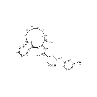 O=C(O)C[C@@H](CCCc1cccc(O)c1)C(=O)NC1Cc2cn(c3ccccc23)CCOCCNC1=O